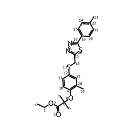 CCOC(=O)C(C)(C)Oc1ccc(SCc2nnc(-c3ccc(C)cc3)s2)cc1C